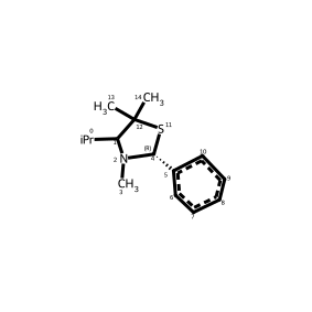 CC(C)C1N(C)[C@@H](c2ccccc2)SC1(C)C